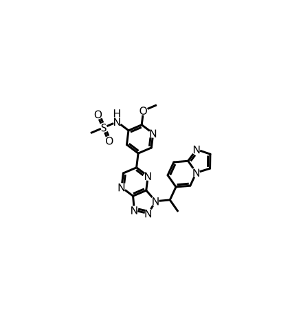 COc1ncc(-c2cnc3nnn(C(C)c4ccc5nccn5c4)c3n2)cc1NS(C)(=O)=O